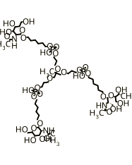 CC(=O)N[C@@H](CO)[C@H](OCCCCCCOP(=O)(O)OCCCOCC(C)(COCCCOP(=O)(O)OCCCCCCO[C@@H]1OC(CO)[C@H](O)C(O)[C@@H]1NC(C)=O)OCCCOP(=O)(O)OCCCCCCO[C@@H]1OC(CO)[C@H](O)C(O)[C@@H]1NC(C)=O)OC(CO)[C@@H](C)O